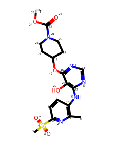 Cc1nc(S(C)(=O)=O)ccc1Nc1ncnc(OC2CCN(C(=O)OC(C)C)CC2)c1O